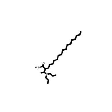 CCCCCCCCCCCCCCCCC(C(N)=O)C(C)N(CCC)CCC